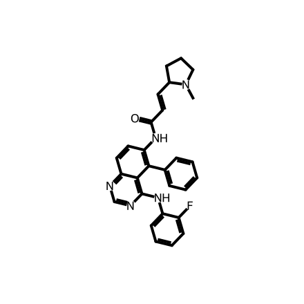 CN1CCCC1/C=C/C(=O)Nc1ccc2ncnc(Nc3ccccc3F)c2c1-c1ccccc1